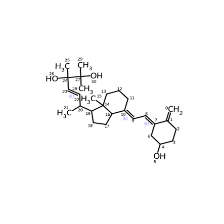 C=C1CCC(O)C/C1=C\C=C1/CCCC2(C)C1CCC2C(C)/C=C/C(C)(O)C(C)(C)O